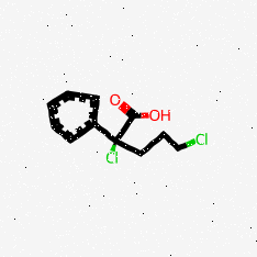 O=C(O)[C@](Cl)(CCCCl)c1ccccc1